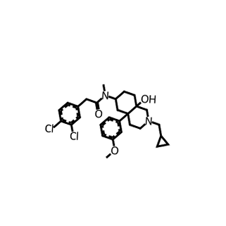 COc1cccc(C23CCN(CC4CC4)CC2(O)CCC(N(C)C(=O)Cc2ccc(Cl)c(Cl)c2)C3)c1